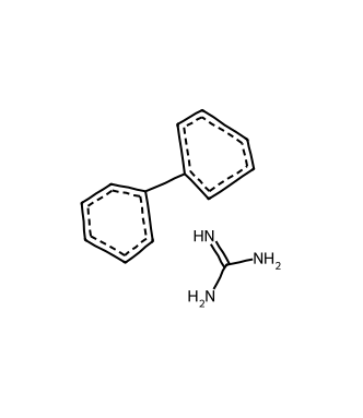 N=C(N)N.c1ccc(-c2ccccc2)cc1